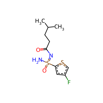 CC(C)CCC(=O)N=S(N)(=O)c1cc(F)cs1